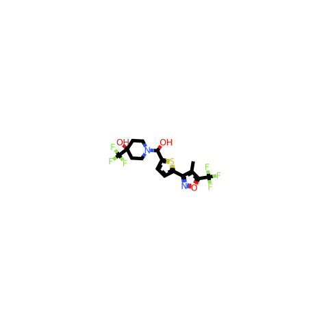 Cc1c(-c2ccc(C(O)N3CCC(O)(C(F)(F)F)CC3)s2)noc1C(F)(F)F